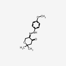 COc1ccc(NN=C2COC(C)(C)CC2=O)cc1